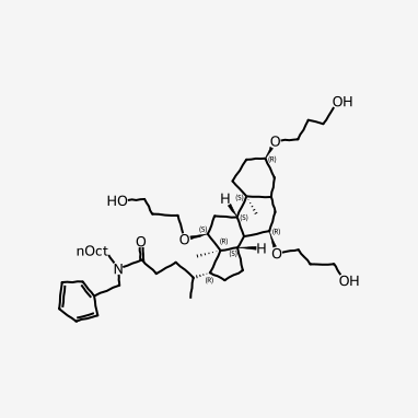 CCCCCCCCN(Cc1ccccc1)C(=O)CCC(C)[C@H]1CC[C@H]2C3[C@H](OCCCO)CC4C[C@H](OCCCO)CC[C@]4(C)[C@H]3C[C@H](OCCCO)[C@]12C